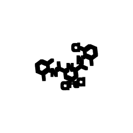 CC(=Nc1c(C)cccc1C)c1cccc(C(C)=Nc2c(C)cccc2Cl)n1.[Cl][Fe][Cl]